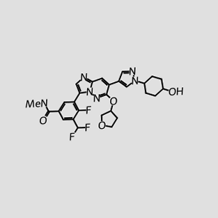 CNC(=O)c1cc(-c2cnc3cc(-c4cnn(C5CCC(O)CC5)c4)c(OC4CCOC4)nn23)c(F)c(C(F)F)c1